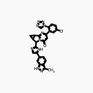 Cc1n[nH]c2cc(-c3cnc(C4C5CC5c5nc(-c6cc(Cl)ccc6-n6cnnn6)cc(=O)n54)[nH]3)ccc12